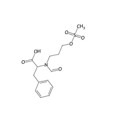 CS(=O)(=O)OCCCN(C=O)C(Cc1ccccc1)C(=O)O